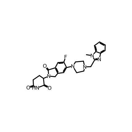 Cn1c(CN2CCN(c3cc4c(cc3F)C(=O)N(C3CCC(=O)NC3=O)C4)CC2)nc2ccccc21